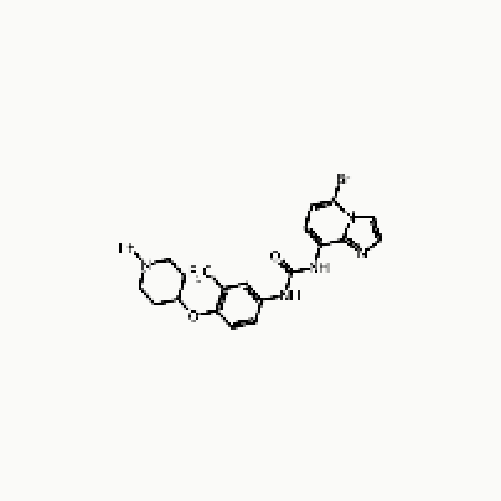 CCN1CCC(Oc2ccc(NC(=O)Nc3ccc(Br)n4ccnc34)cc2C(F)(F)F)CC1